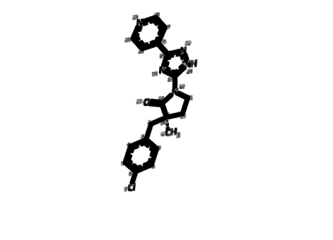 C[C@@]1(Cc2ccc(Cl)cc2)CCN(c2nc(-c3ccncc3)n[nH]2)C1=O